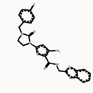 Cc1cc(N2CCN(Cc3ccc(F)cc3)C2=O)sc1C(=O)NCc1nc2ccccc2o1